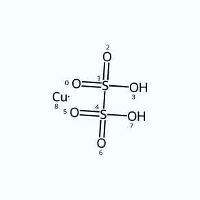 O=S(=O)(O)S(=O)(=O)O.[Cu]